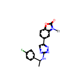 CCn1c(=O)oc2ccc(-c3cnc(NC(C)c4ccc(F)cc4)nn3)cc21